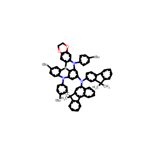 CC(C)(C)c1ccc(N2c3ccc(C(C)(C)C)cc3B3c4cc5c(cc4N(c4ccc(C(C)(C)C)cc4)c4cc(N(c6ccc7c(c6)C(C)(C)c6ccccc6-7)c6cc7c(c8ccccc68)-c6ccccc6C7(C)C)cc2c43)OCCO5)cc1